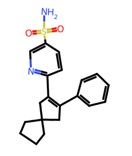 NS(=O)(=O)c1ccc(C2=C(c3ccccc3)CC3(CCCC3)C2)nc1